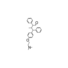 CC(C(C=O)c1ccccc1)C(c1ccccc1)c1ccc(OCCN(C)C)cc1